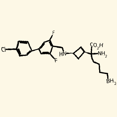 BCCCCC(N)(C(=O)O)[C@H]1C[C@@H](NCc2c(F)cc(-c3ccc(Cl)cc3)cc2F)C1